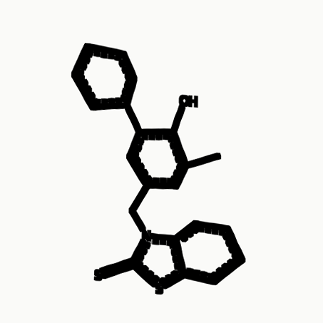 Cc1cc(Cn2c(=S)sc3ccccc32)cc(-c2ccccc2)c1O